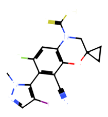 Cn1ncc(I)c1-c1c(F)cc2c(c1C#N)OC1(CC1)CN2C(=S)S